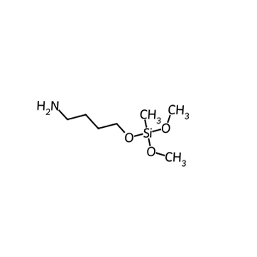 CO[Si](C)(OC)OCCCCN